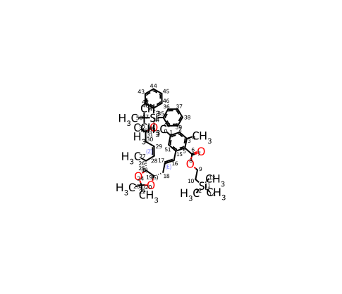 Cc1cc(C)c(C(=O)OCC[Si](C)(C)C)c(/C=C/C[C@@H]2OC(C)(C)O[C@@H]2C(C)/C=C\CC(C)O[Si](c2ccccc2)(c2ccccc2)C(C)(C)C)c1